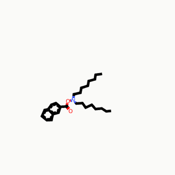 CCCCCCCCN(CCCCCCCC)OC(=O)c1ccc2ccccc2c1